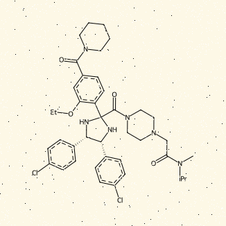 CCOc1cc(C(=O)N2CCCCC2)ccc1C1(C(=O)N2CCN(CC(=O)N(C)C(C)C)CC2)N[C@H](c2ccc(Cl)cc2)[C@H](c2ccc(Cl)cc2)N1